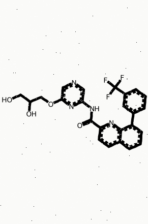 O=C(Nc1cncc(OCC(O)CO)n1)c1ccc2cccc(-c3cccc(C(F)(F)F)c3)c2n1